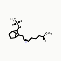 COC(=O)CCC/C=C\CC1C2CCC(C2)C1NS(C)(=O)=O